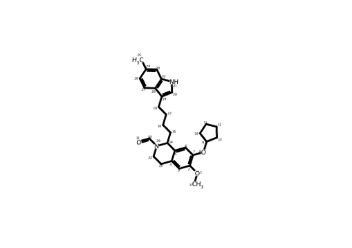 COc1cc2c(cc1OC1CCCC1)C(CCCCc1c[nH]c3cc(C)ccc13)N(C=O)CC2